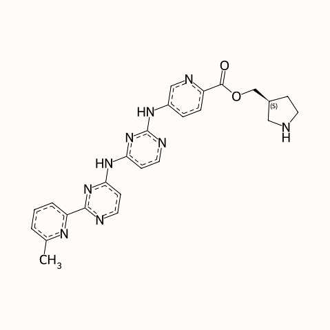 Cc1cccc(-c2nccc(Nc3ccnc(Nc4ccc(C(=O)OC[C@H]5CCNC5)nc4)n3)n2)n1